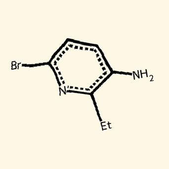 CCc1nc(Br)ccc1N